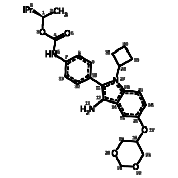 CC(C)[C@@H](C)OC(=O)Nc1ccc(-c2c(N)c3cc(OC4COCOC4)ccc3n2C2CCC2)cc1